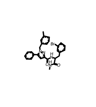 CNC(=O)C(Cc1cccc(Br)c1)NC(=O)c1cc(-c2ccccc2)n(Cc2cccc(C)c2)n1